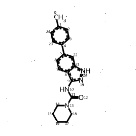 Cc1ccc(-c2ccc3c(NC(=O)N4CCCCC4)n[nH]c3c2)cc1